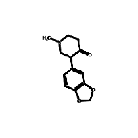 CN1CCC(=O)C(c2ccc3c(c2)OCO3)C1